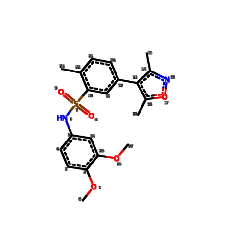 COc1ccc(NS(=O)(=O)c2cc(-c3c(C)noc3C)ccc2C)cc1OC